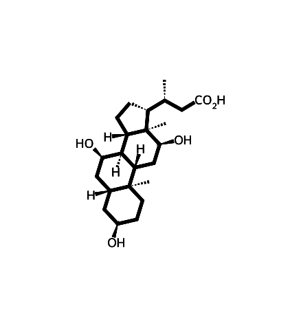 C[C@H](CC(=O)O)[C@H]1CC[C@H]2[C@@H]3[C@H](O)C[C@H]4C[C@H](O)CC[C@]4(C)[C@H]3C[C@H](O)[C@]12C